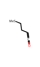 CSCCC=C=O